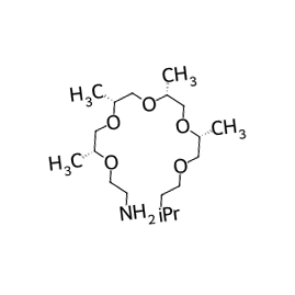 CC(C)CCOC[C@@H](C)OC[C@@H](C)OC[C@@H](C)OC[C@@H](C)OCCN